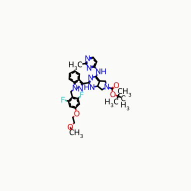 COCCOc1cc(F)c(Cn2nc(C3=NC(Nc4ccnc(C)n4)=C4CN(C(=O)OC(C)(C)C)CC4N3)c3ccccc32)c(F)c1